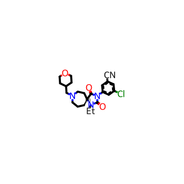 CCN1C(=O)N(c2cc(Cl)cc(C#N)c2)C(=O)[C@]12CCCN(CC1CCOCC1)CC2